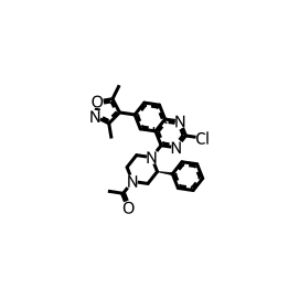 CC(=O)N1CCN(c2nc(Cl)nc3ccc(-c4c(C)noc4C)cc23)[C@@H](c2ccccc2)C1